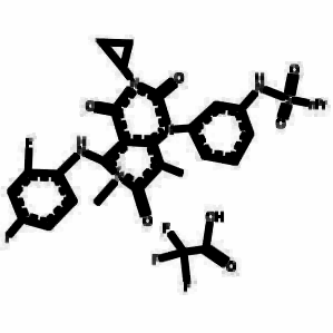 CCCS(=O)(=O)Nc1cccc(-n2c(=O)n(C3CC3)c(=O)c3c(Nc4ccc(I)cc4F)n(C)c(=O)c(C)c32)c1.O=C(O)C(F)(F)F